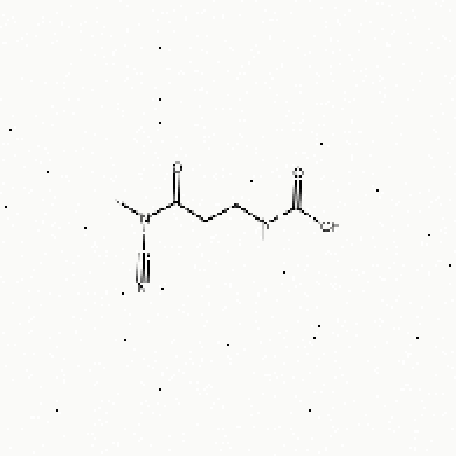 CN(C#N)C(=O)CCNC(=O)O